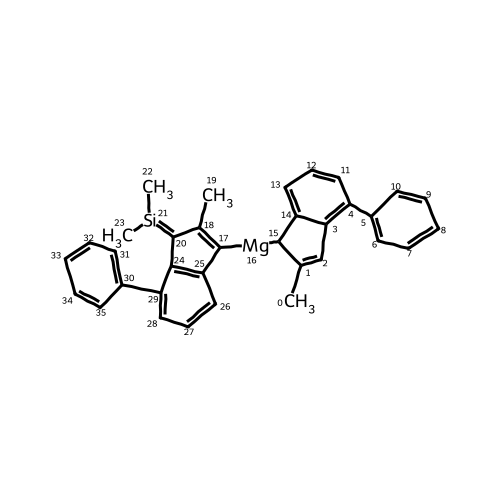 CC1=Cc2c(-c3ccccc3)cccc2[CH]1[Mg][C]1=C(C)C(=[Si](C)C)c2c1cccc2-c1ccccc1